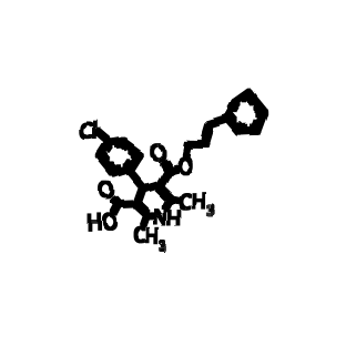 CC1=C(C(=O)O)C(c2ccc(Cl)cc2)C(C(=O)OCC=Cc2ccccc2)=C(C)N1